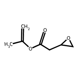 C=C(C)OC(=O)CC1CO1